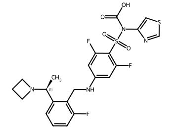 C[C@@H](c1cccc(F)c1CNc1cc(F)c(S(=O)(=O)N(C(=O)O)c2cscn2)c(F)c1)N1CCC1